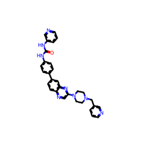 O=C(Nc1ccc(-c2ccc3ncc(N4CCN(Cc5cccnc5)CC4)nc3c2)cc1)Nc1cccnc1